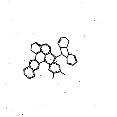 Cc1ccc2c(N3C4C=CC=CC4C4CCC=CC43)c3cc(C)c(C)cc3c(-c3cc4ccccc4cc3C3=CC=CCC3)c2c1